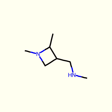 CNCC1CN(C)C1C